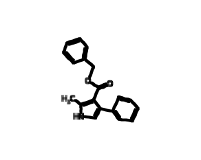 Cc1[nH]cc(-c2ccccc2)c1C(=O)OCc1ccccc1